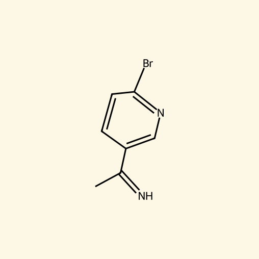 CC(=N)c1ccc(Br)nc1